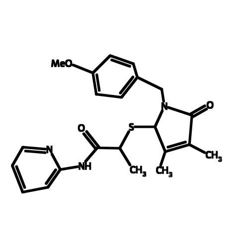 COc1ccc(CN2C(=O)C(C)=C(C)C2SC(C)C(=O)Nc2ccccn2)cc1